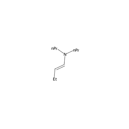 CC/C=C/N(CCC)CCC